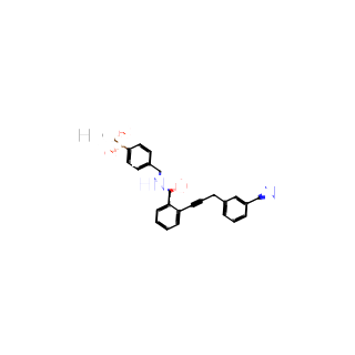 CS(=O)(=O)c1ccc(CNC(=O)c2ccccc2C#CCc2cccc(C#N)c2)cc1